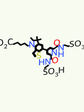 CC1N(CCCCCC(=O)O)c2c(cc(-c3cc(C(=O)NCCS(=O)(=O)O)nc(C(=O)NCCS(=O)(=O)O)c3)c3sccc23)C1(C)C